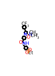 CCS(=O)(=O)c1ccc(CNC(=O)c2ccc(N3CC(c4ccc(C(F)(F)F)cc4)C[C@H]3C(=O)N(C)C)cc2)cc1